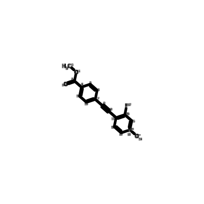 COC(=O)c1ccc(C#Cc2cc[n+]([O-])cc2F)cc1